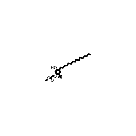 CCCCCCCCCCCCCCCCc1cc(C(C)(C)C)c(OCC(=O)OCC)cc1O